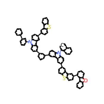 c1ccc(-c2cccc(-n3c4ccc(-c5cccc(-c6ccc7c(c6)c6cc(-c8ccc9sc%10ccc(-c%11cccc%12oc%13ccccc%13c%11%12)cc%10c9c8)ccc6n7-c6cccc7ccccc67)c5)cc4c4cc(-c5ccc6sc7ccccc7c6c5)ccc43)c2)cc1